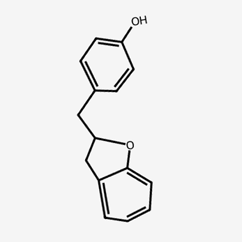 Oc1ccc(CC2Cc3ccccc3O2)cc1